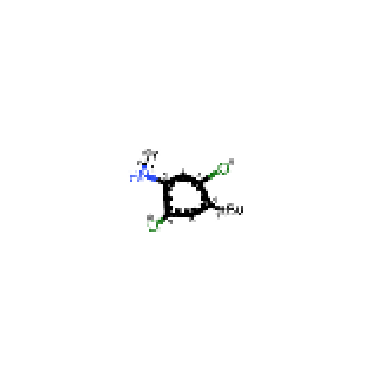 CC(C)Nc1cc(Cl)c(C(C)(C)C)cc1Cl